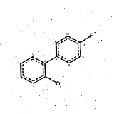 Oc1ccccc1-c1ccc(F)cc1